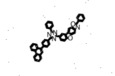 c1ccc(-c2nc(-c3ccc(-c4cc5ccccc5c5ccccc45)cc3)nc(-c3ccc4oc5cc6nc(-c7ccccc7)oc6cc5c4c3)n2)cc1